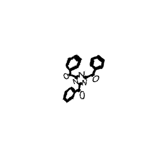 O=C(c1ccccc1)c1nc(C(=O)c2ccccc2)nc(C(=O)c2ccccc2)n1